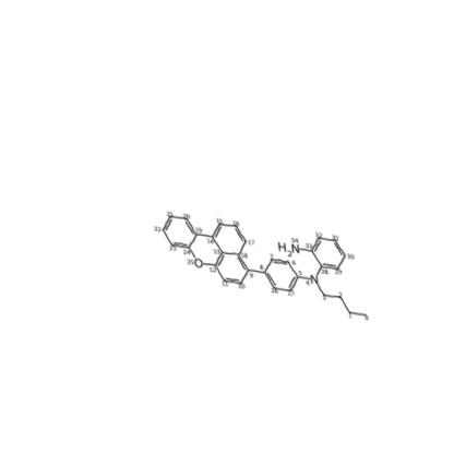 CCCCN(c1ccc(-c2ccc3c4c(cccc24)-c2ccccc2O3)cc1)c1ccccc1N